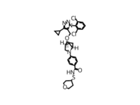 O=C(NSC1CCOCC1)c1ccc(N2C[C@@H]3C[C@H]2C[C@H]3OCc2c(C3CC3)nnn2-c2c(Cl)cccc2Cl)cc1